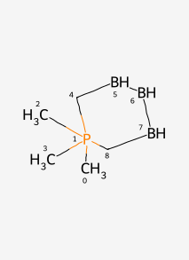 CP1(C)(C)CBBBC1